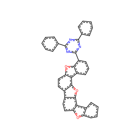 c1ccc(-c2nc(-c3ccccc3)nc(-c3cccc4c3oc3ccc5c6ccc7oc8ccccc8c7c6oc5c34)n2)cc1